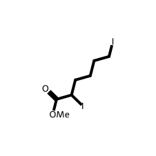 COC(=O)C(I)CCCCI